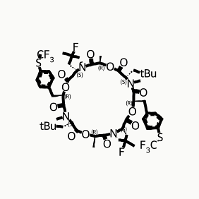 C[C@H]1OC(=O)[C@H](CC(C)(C)C)N(C)C(=O)[C@@H](Cc2ccc(SC(F)(F)F)cc2)OC(=O)[C@H](CC(C)(C)F)N(C)C(=O)[C@@H](C)OC(=O)[C@H](CC(C)(C)C)N(C)C(=O)[C@@H](Cc2ccc(SC(F)(F)F)cc2)OC(=O)[C@H](CC(C)(C)F)N(C)C1=O